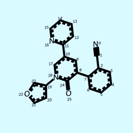 N#Cc1ccccc1-c1cc(-c2ccccn2)cn(-c2ccoc2)c1=O